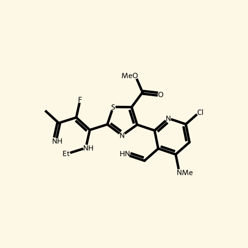 CCN/C(=C(/F)C(C)=N)c1nc(-c2nc(Cl)cc(NC)c2C=N)c(C(=O)OC)s1